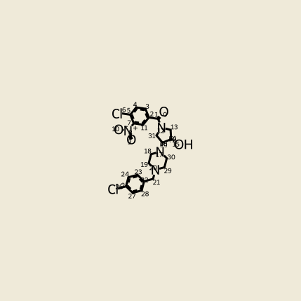 O=C(c1ccc(Cl)c([N+](=O)[O-])c1)N1C[C@@H](O)[C@H](N2CCN(Cc3ccc(Cl)cc3)CC2)C1